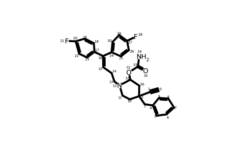 C#CC1(Cc2ccccc2)CCN(CCC=C(c2ccc(F)cc2)c2ccc(F)cc2)C(OC(N)=O)C1